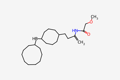 C=C(CCC1CCCC(BC2CCCCCCCCC2)CCC1)NC(=O)COC